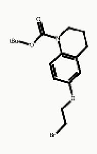 CC(C)(C)OC(=O)N1CCCc2cc(OCCBr)ccc21